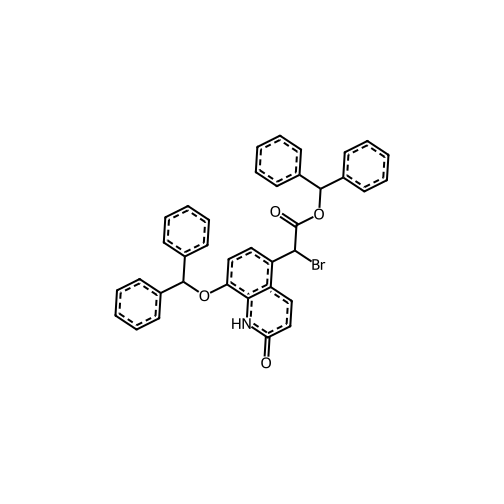 O=C(OC(c1ccccc1)c1ccccc1)C(Br)c1ccc(OC(c2ccccc2)c2ccccc2)c2[nH]c(=O)ccc12